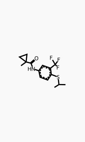 CC(C)Sc1ccc(NC(=O)C2(C)CC2)cc1C(F)(F)F